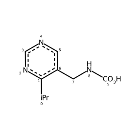 CC(C)c1ncncc1CNC(=O)O